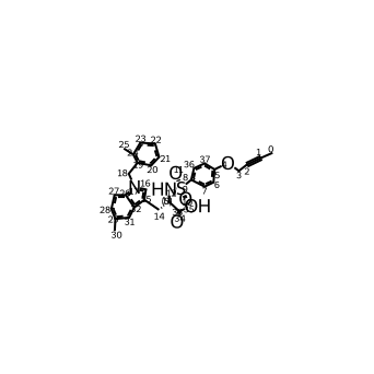 CC#CCOc1ccc(S(=O)(=O)N[C@@H](Cc2cn(Cc3ccccc3C)c3ccc(C)cc23)C(=O)O)cc1